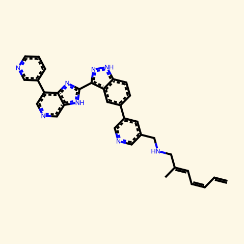 C=C/C=C\C=C(/C)CNCc1cncc(-c2ccc3[nH]nc(-c4nc5c(-c6cccnc6)cncc5[nH]4)c3c2)c1